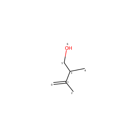 C=C(C)C(C)CO